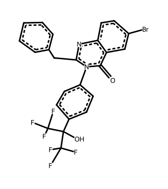 O=c1c2cc(Br)ccc2nc(Cc2ccccc2)n1-c1ccc(C(O)(C(F)(F)F)C(F)(F)F)cc1